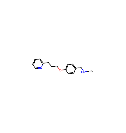 CCCNCc1ccc(OCCCc2ccccn2)cc1